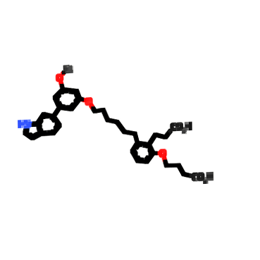 CCOc1cc(OCCCCCCc2cccc(OCCCC(=O)O)c2CCC(=O)O)cc(-c2ccc3cc[nH]c3c2)c1